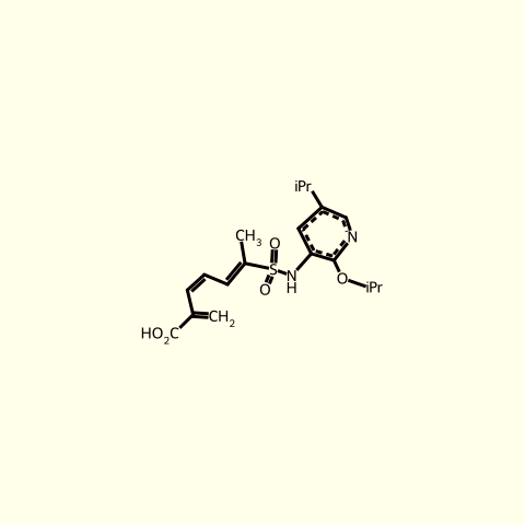 C=C(/C=C\C=C(/C)S(=O)(=O)Nc1cc(C(C)C)cnc1OC(C)C)C(=O)O